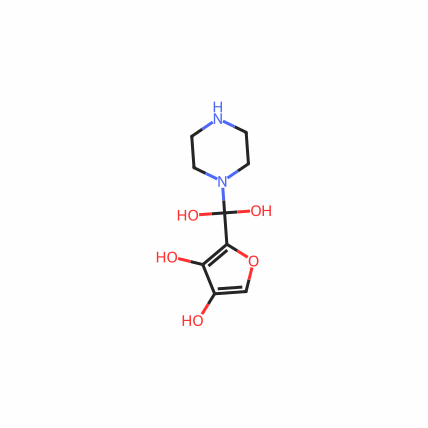 Oc1coc(C(O)(O)N2CCNCC2)c1O